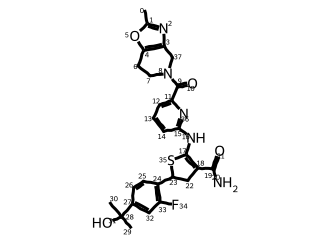 Cc1nc2c(o1)CCN(C(=O)c1cccc(NC3=C(C(N)=O)CC(c4ccc(C(C)(C)O)cc4F)S3)n1)C2